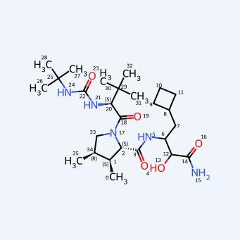 C[C@@H]1[C@@H](C(=O)NC(CC2CCC2)C(O)C(N)=O)N(C(=O)[C@@H](NC(=O)NC(C)(C)C)C(C)(C)C)C[C@@H]1C